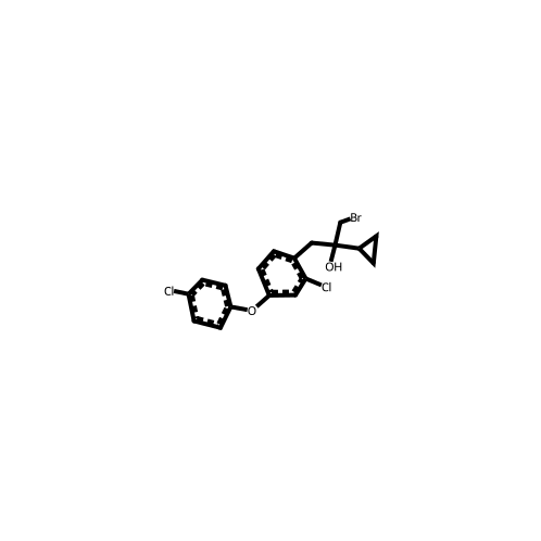 OC(CBr)(Cc1ccc(Oc2ccc(Cl)cc2)cc1Cl)C1CC1